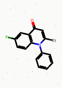 CCc1cc(=O)c2cc(F)ccc2n1-c1ccccc1